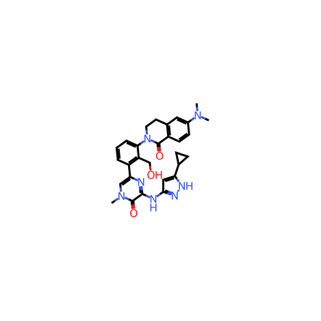 CN(C)c1ccc2c(c1)CCN(c1cccc(-c3cn(C)c(=O)c(Nc4cc(C5CC5)[nH]n4)n3)c1CO)C2=O